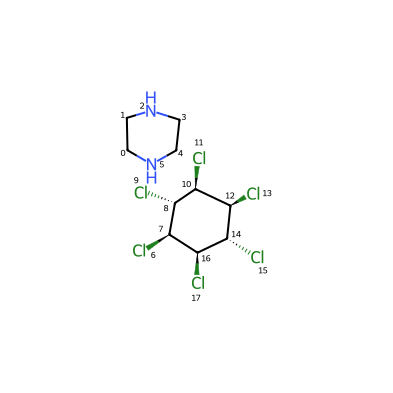 C1CNCCN1.Cl[C@H]1[C@H](Cl)[C@@H](Cl)[C@@H](Cl)[C@H](Cl)[C@H]1Cl